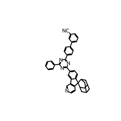 N#Cc1cccc(-c2ccc(-c3nc(-c4ccccc4)nc(-c4ccc5c(c4)-c4cnccc4C54C5CC6CC(C5)CC4C6)n3)cc2)c1